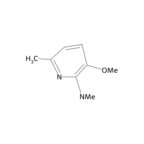 CNc1nc(C)ccc1OC